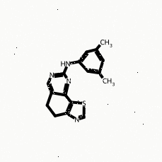 Cc1cc(C)cc(Nc2ncc3c(n2)-c2scnc2CC3)c1